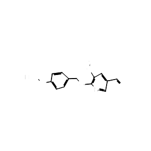 COc1ccc(COc2ncc(C=O)cc2OC)cc1